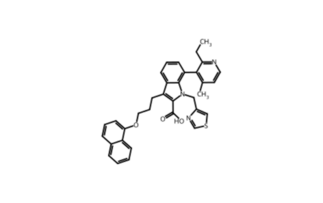 CCc1nccc(C)c1-c1cccc2c(CCCOc3cccc4ccccc34)c(C(=O)O)n(Cc3cscn3)c12